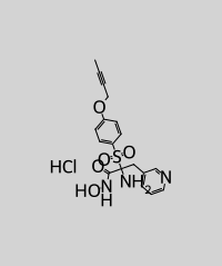 CC#CCOc1ccc(S(=O)(=O)C(N)(Cc2cccnc2)C(=O)NO)cc1.Cl